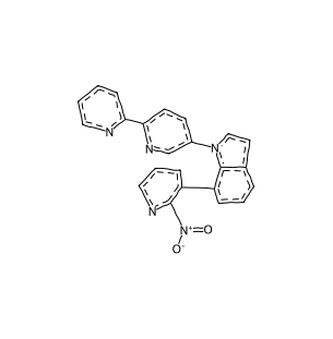 O=[N+]([O-])c1ncccc1-c1cccc2ccn(-c3ccc(-c4ccccn4)nc3)c12